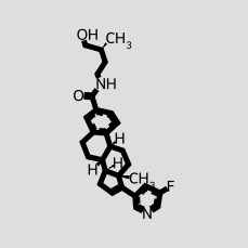 C[C@@H](CO)CCNC(=O)c1ccc2c(c1)CC[C@@H]1[C@@H]2CC[C@]2(C)C(c3cncc(F)c3)=CC[C@@H]12